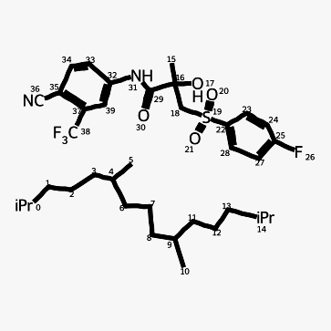 CC(C)CCCC(C)CCCC(C)CCCC(C)C.CC(O)(CS(=O)(=O)c1ccc(F)cc1)C(=O)Nc1ccc(C#N)c(C(F)(F)F)c1